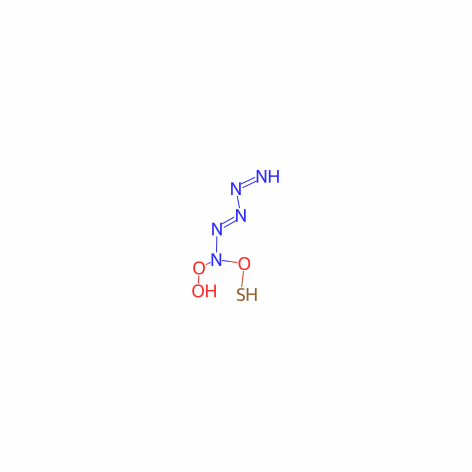 N=N/N=N/N(OO)OS